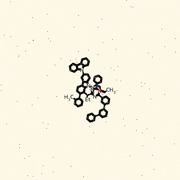 C/C=C\C=C/Nn1c2ccc(-n3c4ccccc4c4ccccc43)cc2c2ccc(-c3ccccc3C)c(C(CC)c3nc(-c4ccccc4)nc(-c4cccc(-c5cccc(-c6ccccc6)c5)c4)n3)c21